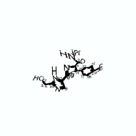 CC(C)NC(=O)c1nc(-c2cnc(CO)[nH]2)sc1-c1ccc(F)cc1